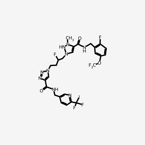 CN1NN(CC(F)CCn2cc(C(=O)NCc3ccc(C(F)(F)I)nc3)nn2)C=C1C(=O)NCc1cc(OC(F)(F)F)ccc1F